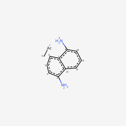 CC(C)=O.Nc1cccc2c(N)cccc12